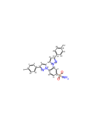 Cc1ccc(-c2ccn(-c3ccc(S(N)(=O)=O)cc3-n3ccc(-c4ccc(C)cc4)n3)n2)cc1